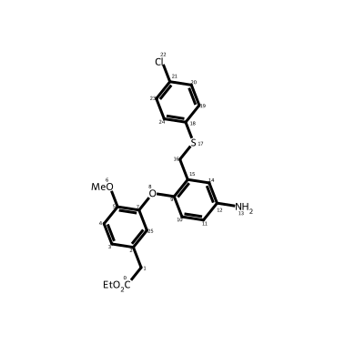 CCOC(=O)Cc1ccc(OC)c(Oc2ccc(N)cc2CSc2ccc(Cl)cc2)c1